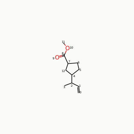 C=CC(C)C1CCC(C(=O)OC)C1